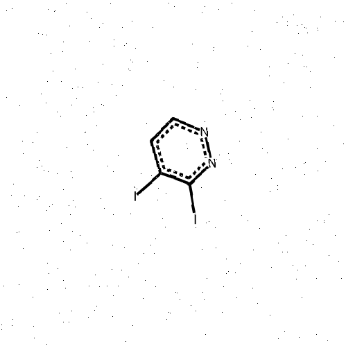 Ic1ccnnc1I